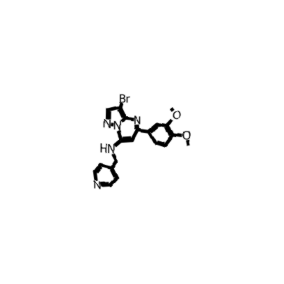 COc1ccc(-c2cc(NCc3ccncc3)n3ncc(Br)c3n2)cc1OC